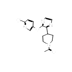 CC(=O)N1CCC(c2nccnc2Oc2ccc(Cl)nc2)CC1